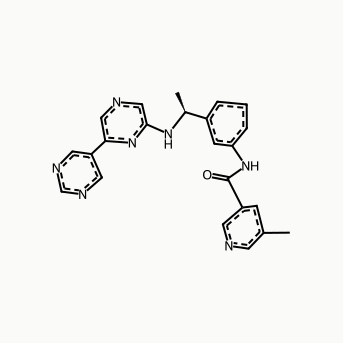 Cc1cncc(C(=O)Nc2cccc([C@H](C)Nc3cncc(-c4cncnc4)n3)c2)c1